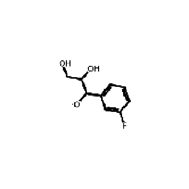 [O]C(c1cccc(F)c1)C(O)CO